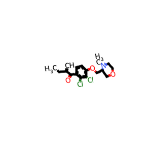 C=C(CC)C(=O)c1ccc(OCC2COCCN2C)c(Cl)c1Cl